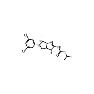 CC(C)OC(=O)NC1=NC2C(C[C@H](c3cc(Cl)cc(Cl)c3)[C@@H]2C)N1